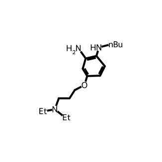 CCCCNc1ccc(OCCCN(CC)CC)cc1N